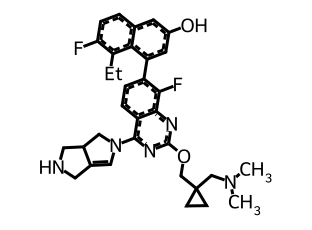 CCc1c(F)ccc2cc(O)cc(-c3ccc4c(N5C=C6CNCC6C5)nc(OCC5(CN(C)C)CC5)nc4c3F)c12